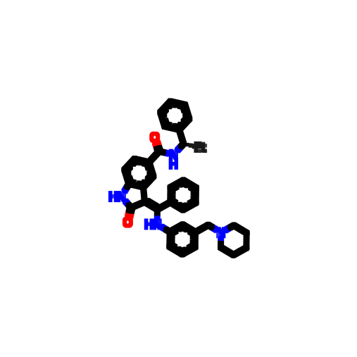 CC[C@H](NC(=O)c1ccc2c(c1)/C(=C(/Nc1cccc(CN3CCCCC3)c1)c1ccccc1)C(=O)N2)c1ccccc1